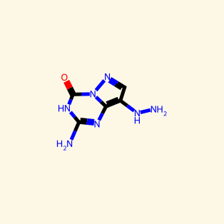 NNc1cnn2c(=O)[nH]c(N)nc12